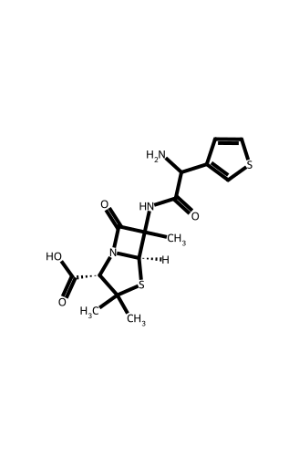 CC1(C)S[C@H]2N(C(=O)C2(C)NC(=O)C(N)c2ccsc2)[C@H]1C(=O)O